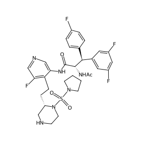 CC(=O)N[C@H](C(=O)Nc1cncc(F)c1CC[C@H]1CNCCN1S(=O)(=O)N1CCCC1)[C@@H](c1ccc(F)cc1)c1cc(F)cc(F)c1